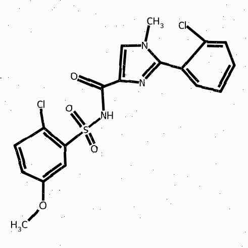 COc1ccc(Cl)c(S(=O)(=O)NC(=O)c2cn(C)c(-c3ccccc3Cl)n2)c1